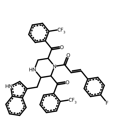 O=C(c1ccccc1C(F)(F)F)C1CNC(Cc2c[nH]c3ccccc23)C(C(=O)c2ccccc2C(F)(F)F)N1C(=O)/C=C/c1ccc(F)cc1